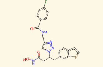 O=C(CC(Cc1ccc2ccsc2c1)n1cc(CNC(=O)c2ccc(F)cc2)nn1)NO